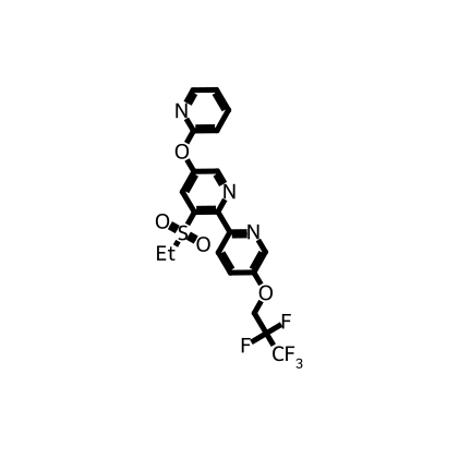 CCS(=O)(=O)c1cc(Oc2ccccn2)cnc1-c1ccc(OCC(F)(F)C(F)(F)F)cn1